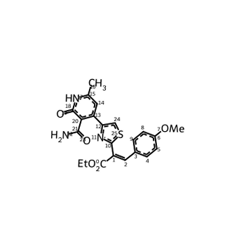 CCOC(=O)C(=Cc1ccc(OC)cc1)c1nc(-c2cc(C)[nH]c(=O)c2C(N)=O)cs1